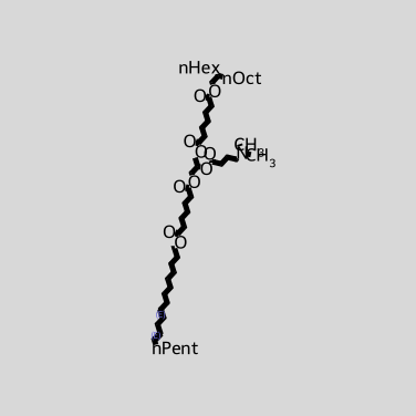 CCCCC/C=C/C/C=C/CCCCCCCCOC(=O)CCCCCC(=O)OCC(COC(=O)CCCCCC(=O)OCC(CCCCCC)CCCCCCCC)OC(=O)CCCN(C)C